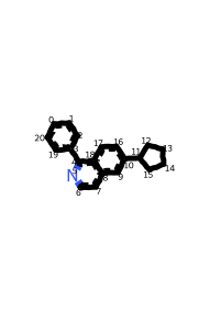 c1ccc(-c2nccc3cc(C4CCCC4)ccc23)cc1